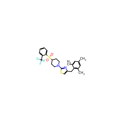 Cc1cc(C)c(Cc2csc(N3CCC(S(=O)(=O)c4ccccc4C(F)(F)F)CC3)n2)c(C)c1